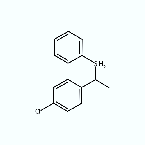 CC([SiH2]c1ccccc1)c1ccc(Cl)cc1